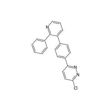 Clc1ccc(-c2ccc(-c3cccnc3-c3ccccc3)cc2)nn1